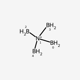 B[N+](B)(B)B